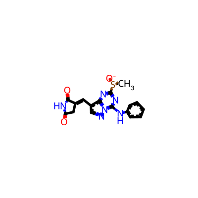 C[S+]([O-])c1nc(Nc2ccccc2)n2ncc(/C=C3\CC(=O)NC3=O)c2n1